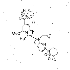 COc1cc(C(=O)N2[C@H]3CC[C@@H]2[C@H](N)C3)cc2nc(-c3cc4ccc(N5CCCC6(CC6)S5(=O)=O)nc4n3CC3CC3)c(C)n12